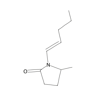 CCCC=CN1C(=O)CCC1C